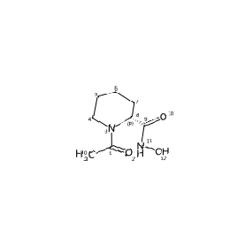 CC(=O)N1CCCC[C@@H]1C(=O)NO